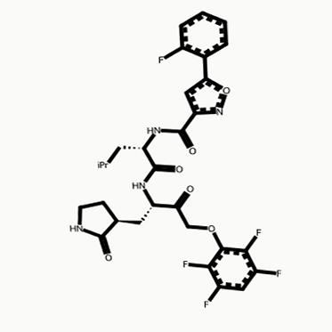 CC(C)C[C@H](NC(=O)c1cc(-c2ccccc2F)on1)C(=O)N[C@@H](C[C@@H]1CCNC1=O)C(=O)COc1c(F)c(F)cc(F)c1F